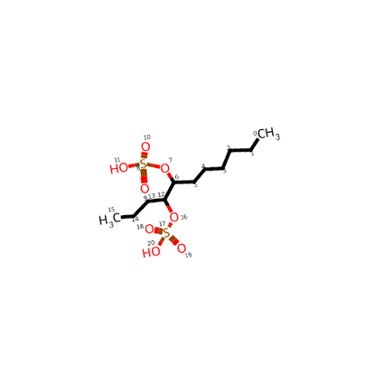 CCCCCCC(OS(=O)(=O)O)C(CCC)OS(=O)(=O)O